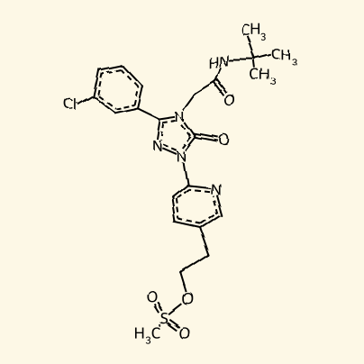 CC(C)(C)NC(=O)Cn1c(-c2cccc(Cl)c2)nn(-c2ccc(CCOS(C)(=O)=O)cn2)c1=O